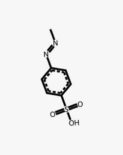 C/N=N/c1ccc(S(=O)(=O)O)cc1